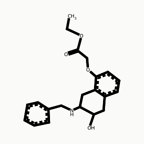 CCOC(=O)COc1cccc2c1CC(NCc1ccccc1)C(O)C2